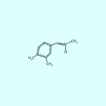 Cc1ccc(C=[N+](C)[O-])cc1C